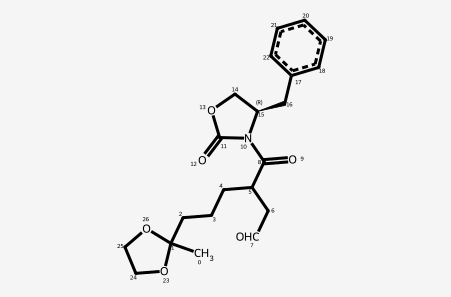 CC1(CCCC(CC=O)C(=O)N2C(=O)OC[C@H]2Cc2ccccc2)OCCO1